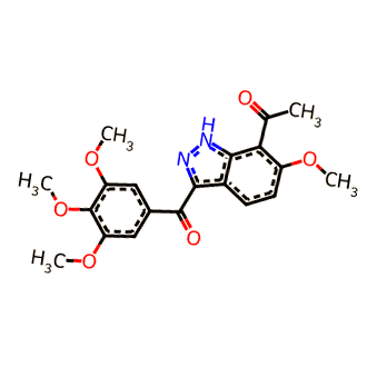 COc1cc(C(=O)c2n[nH]c3c(C(C)=O)c(OC)ccc23)cc(OC)c1OC